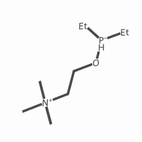 CC[PH-](CC)OCC[N+](C)(C)C